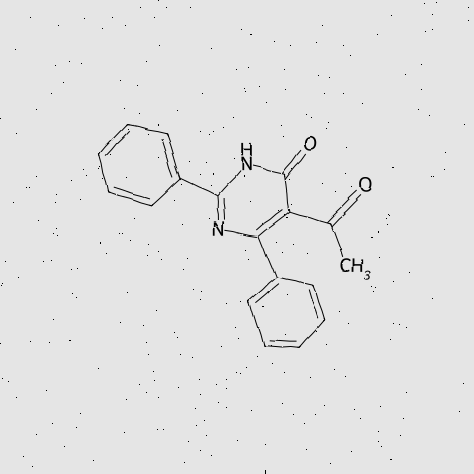 CC(=O)c1c(-c2ccccc2)nc(-c2ccccc2)[nH]c1=O